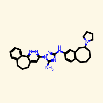 Nc1nc(Nc2ccc3c(c2)CC(N2CCCC2)CCCC3)nn1-c1cc2c(nn1)-c1ccccc1CCC2